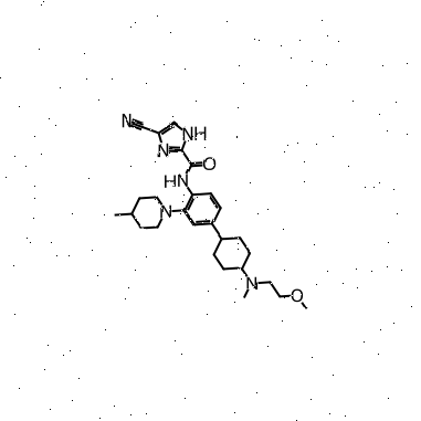 COCCN(C)C1CCC(c2ccc(NC(=O)c3nc(C#N)c[nH]3)c(N3CCC(C)CC3)c2)CC1